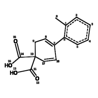 Cc1ccccc1C1=CCC(C(=O)O)(C(=O)O)C=C1